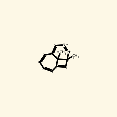 CC12C=C3C=CC=CC(=CN=N1)C32C